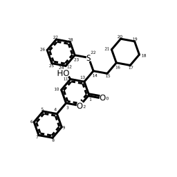 O=c1oc(-c2ccccc2)cc(O)c1C(CC1CCCCC1)Sc1ccccc1